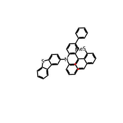 CSc1cccc2cccc(-c3cc(-c4ccccc4)ccc3N(c3ccccc3)c3ccc4sc5ccccc5c4c3)c12